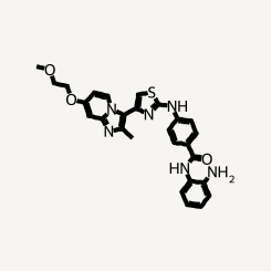 COCCOc1ccn2c(-c3csc(Nc4ccc(C(=O)Nc5ccccc5N)cc4)n3)c(C)nc2c1